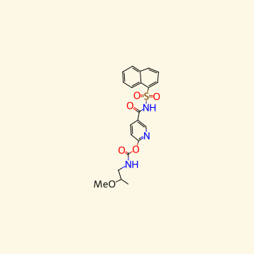 COC(C)CNC(=O)Oc1ccc(C(=O)NS(=O)(=O)c2cccc3ccccc23)cn1